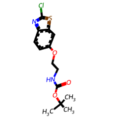 CC(C)(C)OC(=O)NCCOc1ccc2nc(Cl)sc2c1